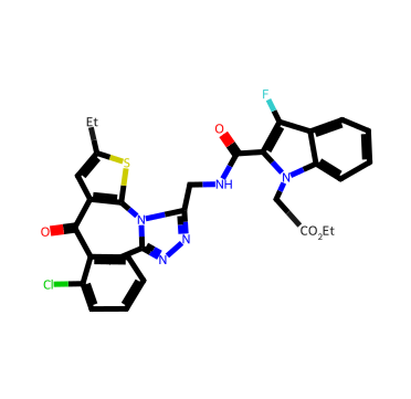 CCOC(=O)Cn1c(C(=O)NCc2nnc(C)n2-c2sc(CC)cc2C(=O)c2ccccc2Cl)c(F)c2ccccc21